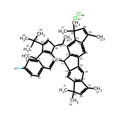 CCC1=[C](/[Zr+2](=[CH]\c2ccc(F)cc2)[CH]2c3cc4c(cc3-c3cc5c(cc32)C(C)(C)C=C5C)C(C)=CC4(C)C)C(CC)C=C1C(C)(C)C.[Cl-].[Cl-]